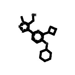 Cn1nnc(-c2ccc(OC3CCCCC3)c(C3CCC3)n2)c1CO